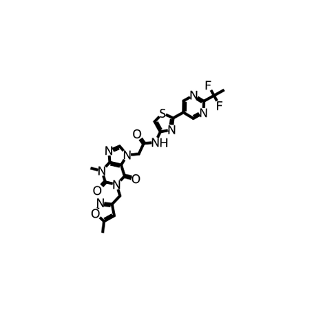 Cc1cc(Cn2c(=O)c3c(ncn3CC(=O)Nc3csc(-c4cnc(C(C)(F)F)nc4)n3)n(C)c2=O)no1